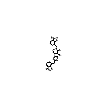 Cn1c2nc(Cc3cccc4[nH]nnc34)sc2c2cnn(Cc3cccc4[nH]ncc34)c(=O)c21